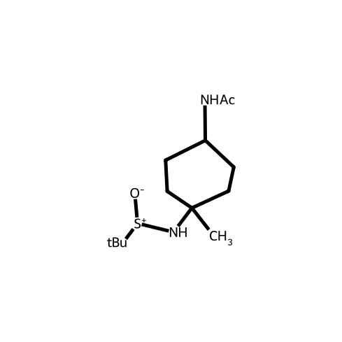 CC(=O)NC1CCC(C)(N[S+]([O-])C(C)(C)C)CC1